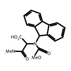 CNC(=O)C(C(=O)O)N(C(=O)OC)C1c2ccccc2-c2ccccc21